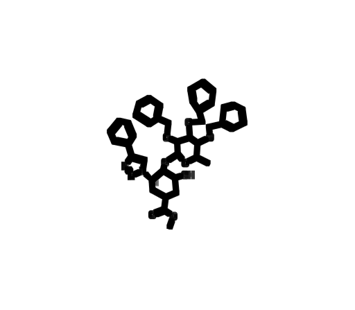 COC(=O)C1CC(O)C(OC2OC(C)C(OCc3ccccc3)C(OCc3ccccc3)C2OCc2ccccc2)[C@H](n2cc(-c3ccccc3)nn2)C1